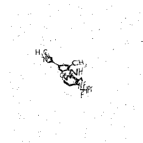 Cc1cc(-c2cnn(C)c2)cc(C)c1Nc1nccc2c1ccn2CC(F)(F)C(C)C